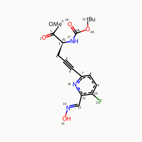 COC(=O)[C@H](CC#Cc1ccc(F)c(C=NO)n1)NC(=O)OC(C)(C)C